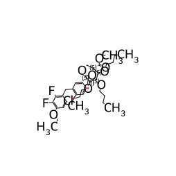 CCCCO[C@@H]1[C@@H](OCCCC)[C@@]2(c3ccc(Cl)c(Cc4ccc(OCC)c(F)c4F)c3)OC[C@](C(=O)OC)(O2)[C@H]1OCCCC